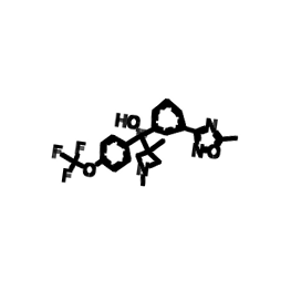 Cc1nc(-c2cccc([C@](O)(c3ccc(OC(F)(F)F)cc3)C3(C)CN(C)C3)c2)no1